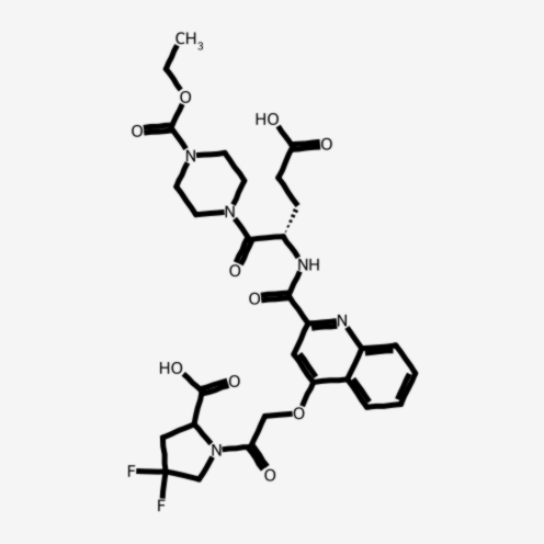 CCOC(=O)N1CCN(C(=O)[C@H](CCC(=O)O)NC(=O)c2cc(OCC(=O)N3CC(F)(F)CC3C(=O)O)c3ccccc3n2)CC1